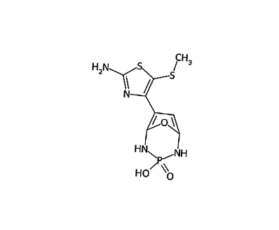 CSc1sc(N)nc1-c1cc2oc1NP(=O)(O)N2